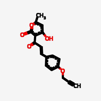 C#CCOc1ccc(C=CC(=O)c2c(O)cc(C)oc2=O)cc1